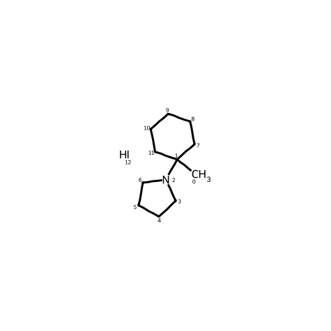 CC1(N2CCCC2)CCCCC1.I